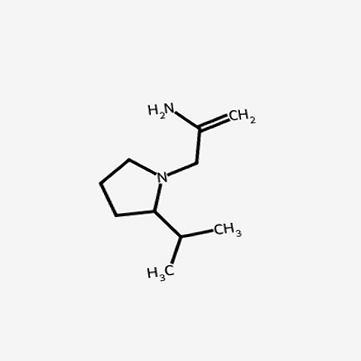 C=C(N)CN1CCCC1C(C)C